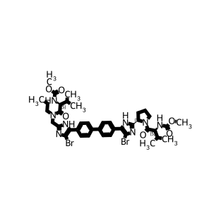 CCCN(Cc1nc(Br)c(-c2ccc(-c3ccc(-c4[nH]c([C@@H]5CCCN5C(=O)[C@@H](NC(=O)OC)C(C)C)nc4Br)cc3)cc2)[nH]1)C(=O)[C@@H](NC(=O)OC)C(C)C